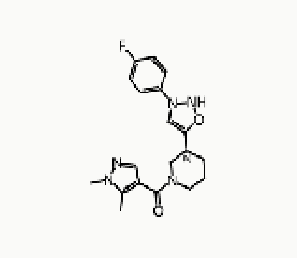 Cc1c(C(=O)N2CCC[C@H](C3=CN(c4ccc(F)cc4)NO3)C2)cnn1C